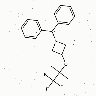 CC(C)(OC1CN(C(c2ccccc2)c2ccccc2)C1)C(F)(F)F